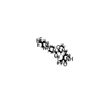 O=C([C@H]1CN(Cc2cc(C(F)(F)F)c(=O)[nH]n2)CCO1)N1CCN(c2ncc(C(F)(F)F)cn2)CC1